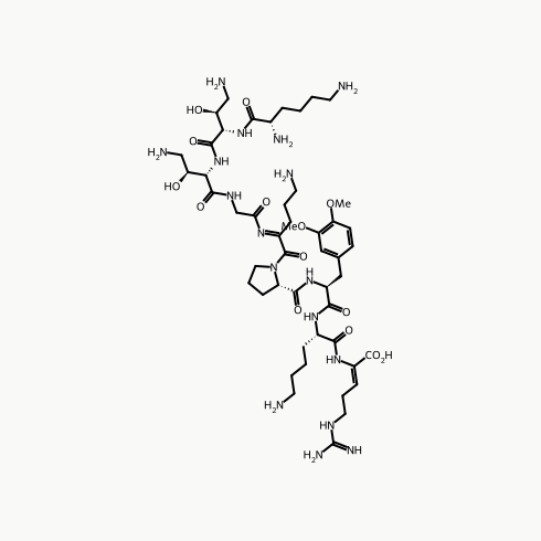 COc1ccc(C[C@H](NC(=O)[C@@H]2CCCN2C(=O)/C(CCCN)=N/C(=O)CNC(=O)[C@@H](NC(=O)[C@@H](NC(=O)[C@@H](N)CCCCN)[C@@H](O)CN)[C@@H](O)CN)C(=O)N[C@@H](CCCCN)C(=O)N/C(=C\CCNC(=N)N)C(=O)O)cc1OC